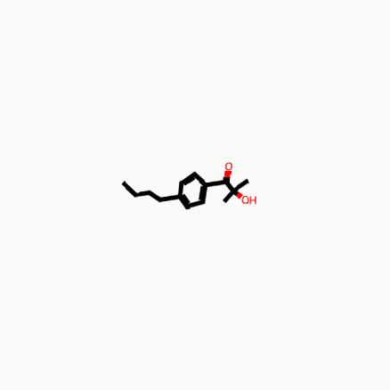 CCCCc1ccc(C(=O)C(C)(C)O)cc1